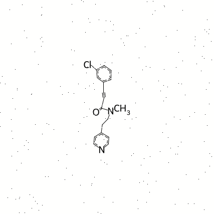 CN(CCc1ccncc1)C(=O)C#Cc1cccc(Cl)c1